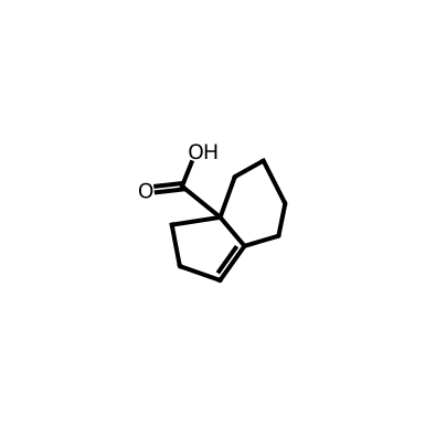 O=C(O)C12CCC=C1CCCC2